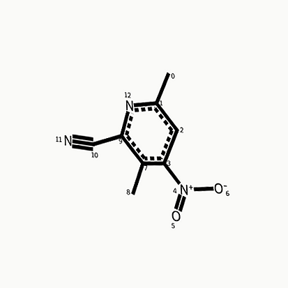 Cc1cc([N+](=O)[O-])c(C)c(C#N)n1